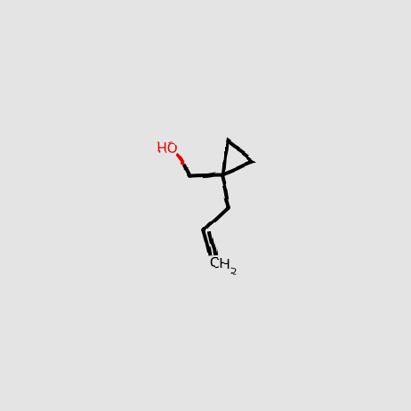 C=CCC1(CO)CC1